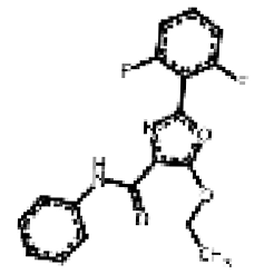 CCOc1oc(-c2c(F)cccc2F)nc1C(=O)Nc1ccccc1